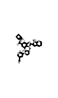 COc1cc(C(=O)N2CC3CCC2[C@@H]3N)cc2nc(-c3cc4cccnc4n3C)n(C[C@H]3CCN(c4cncc(C#N)c4)C3)c12